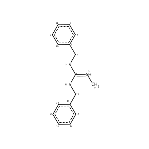 C[SH]=C(SCc1ccccc1)SCc1ccccc1